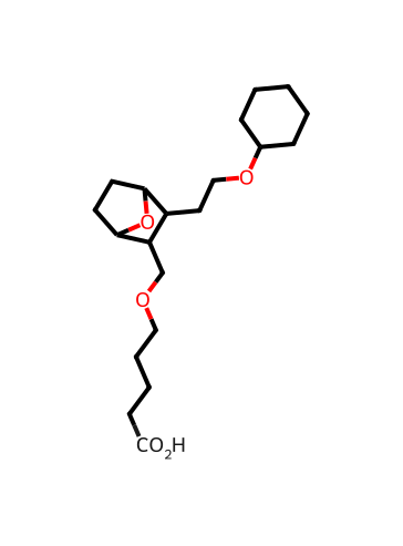 O=C(O)CCCCOCC1C2CCC(O2)C1CCOC1CCCCC1